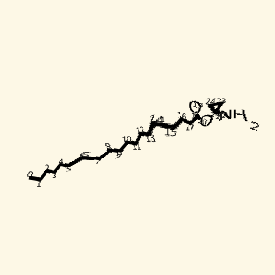 CCCCCCCCCCCCCCCCCCC(=O)OC1(N)CC1